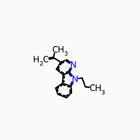 C=C(C)c1cnc2c(c1)c1ccccc1n2CCC